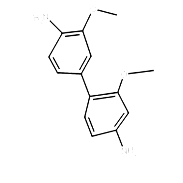 COc1[c]c(-c2ccc(N)cc2OC)ccc1N